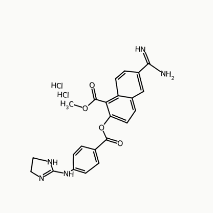 COC(=O)c1c(OC(=O)c2ccc(NC3=NCCN3)cc2)ccc2cc(C(=N)N)ccc12.Cl.Cl